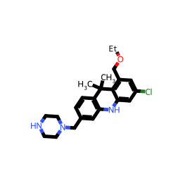 CCOCc1cc(Cl)cc2c1C(C)(C)c1ccc(CN3CCNCC3)cc1N2